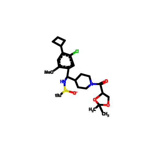 COc1cc(C2CCC2)c(Cl)cc1C(N[S+]([O-])C(C)(C)C)C1CCN(C(=O)C2COC(C)(C)O2)CC1